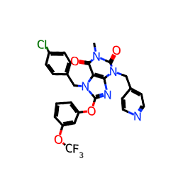 Cn1c(=O)c2c(nc(Oc3cccc(OC(F)(F)F)c3)n2Cc2ccc(Cl)cc2)n(Cc2ccncc2)c1=O